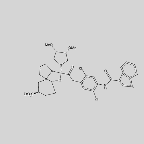 CCOC(=O)[C@H]1CC[C@H](OC(C(=O)Cc2cc(Cl)c(NC(=O)c3csc4ccccc34)cc2Cl)(N2CCCC2)N2C[C@H](OC)[C@H](OC)C2)CC1